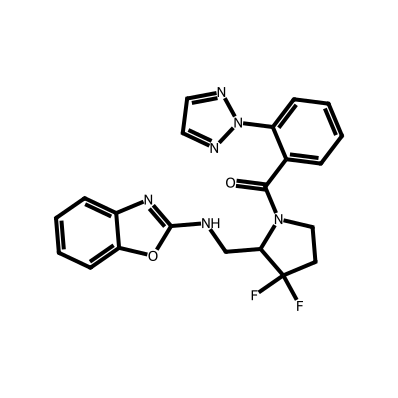 O=C(c1ccccc1-n1nccn1)N1CCC(F)(F)C1CNc1nc2ccccc2o1